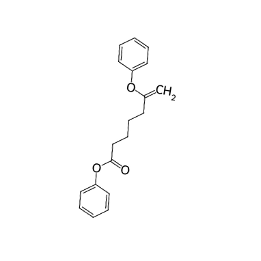 C=C(CCCCC(=O)Oc1ccccc1)Oc1ccccc1